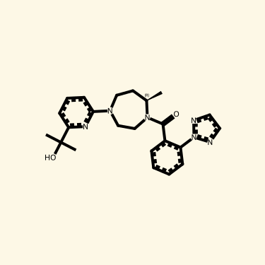 C[C@@H]1CCN(c2cccc(C(C)(C)O)n2)CCN1C(=O)c1ccccc1-n1nccn1